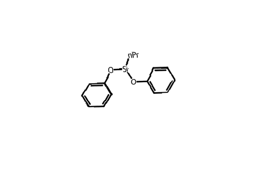 CCC[Si](Oc1ccccc1)Oc1ccccc1